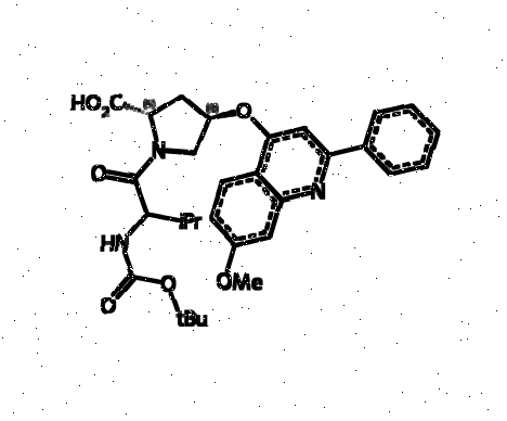 COc1ccc2c(O[C@@H]3C[C@@H](C(=O)O)N(C(=O)C(NC(=O)OC(C)(C)C)C(C)C)C3)cc(-c3ccccc3)nc2c1